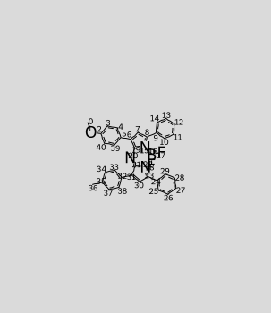 COc1ccc(-c2cc(-c3ccccc3)n(B(F)F)c2/N=C2\N=C(c3ccccc3)C=C2c2ccc(C)cc2)cc1